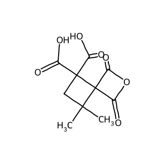 CC1(C)CC(C(=O)O)(C(=O)O)C12C(=O)OC2=O